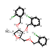 N#C[C@H]1O[C@H](COCc2ccccc2F)[C@@H](OCc2ccccc2F)[C@H]1OCc1ccccc1F